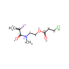 C=C(I)C(=O)N(C)CCOC(=O)CCCl